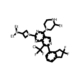 CCC1CN(c2nc(N3CC(N(CC)CC)C3)nc3c(C(F)(F)Cl)c(-c4cccc5c4CC(F)(F)C5)ncc23)CCN1